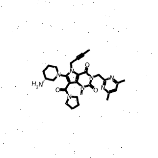 CC#CCn1c(N2CCC[C@@H](N)C2)c(C(=O)N2CCCC2)c2c1c(=O)n(Cc1nc(C)cc(C)n1)c(=O)n2C